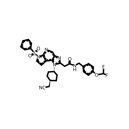 N#CC[C@H]1CC[C@H](n2c(CC(=O)NCc3ccc(OC(F)F)cc3)nc3cnc4c(ccn4S(=O)(=O)c4ccccc4)c32)CC1